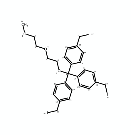 COCCOCCOC(c1ccc(CI)cc1)(c1ccc(CI)cc1)c1ccc(CI)cc1